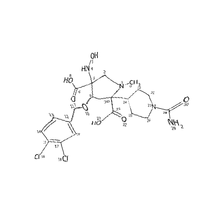 CN1CC(NO)(C(=O)O)C(OCc2ccc(Cl)c(Cl)c2)C1(C(=O)O)C1CCN(C(N)=O)CC1